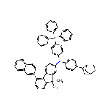 CC1(C)c2cc(N(c3ccc(C4CC5CCC4C5)cc3)c3ccc([Si](c4ccccc4)(c4ccccc4)c4ccccc4)cc3)ccc2-c2c(-c3ccc4ccccc4c3)cccc21